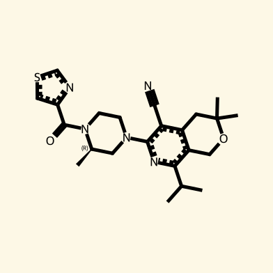 CC(C)c1nc(N2CCN(C(=O)c3cscn3)[C@H](C)C2)c(C#N)c2c1COC(C)(C)C2